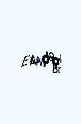 CCN(C)/C=N/c1cc(C)c(Oc2cc(Br)cc(I)c2)cc1C